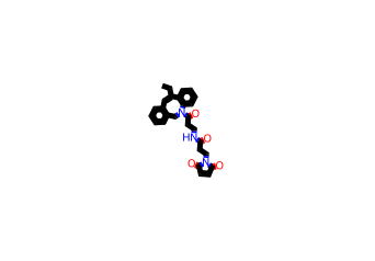 CC/C1=C/c2ccccc2CN(C(=O)CCNC(=O)CCN2C(=O)C=CC2=O)c2ccccc21